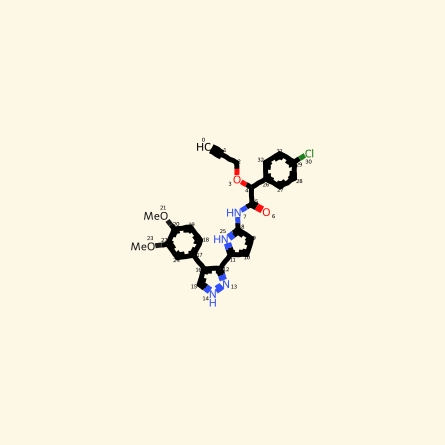 C#CCOC(C(=O)Nc1ccc(-c2n[nH]cc2-c2ccc(OC)c(OC)c2)[nH]1)c1ccc(Cl)cc1